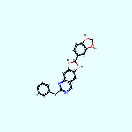 c1ccc(Cc2ncc3cc4c(cc3n2)OC(c2ccc3c(c2)OCO3)O4)cc1